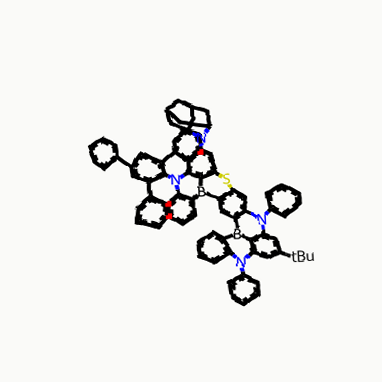 CC(C)(C)c1cc2c3c(c1)N(c1ccccc1)c1cc4c(cc1B3c1ccccc1N2c1ccccc1)B1c2ccccc2N(c2c(-c3ccccc3)cc(-c3ccccc3)cc2-c2ccccc2)c2cc(N3C5CC6CC(C5)CC3C6)cc(c21)S4